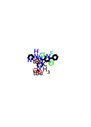 CC1CN(C(=O)OC(C)(C)C)CCN1/C(=N\C(=O)Nc1cccnc1C(C)(C)C)c1cc(Cl)c(-c2ccccc2F)nc1Cl